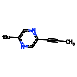 CC#Cc1cnc(C(C)(C)C)cn1